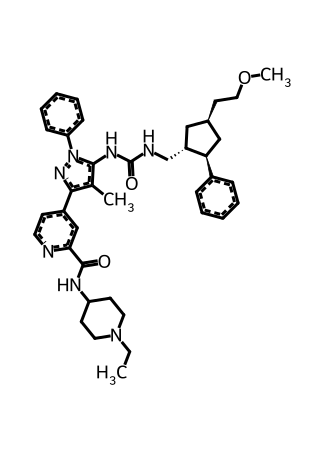 CCN1CCC(NC(=O)c2cc(-c3nn(-c4ccccc4)c(NC(=O)NC[C@@H]4C[C@@H](CCOC)C[C@H]4c4ccccc4)c3C)ccn2)CC1